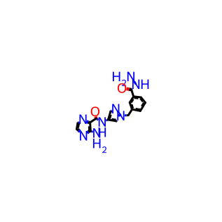 NNC(=O)c1cccc(Cn2cc(NC(=O)c3nccnc3N)cn2)c1